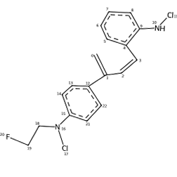 C=C(/C=C\c1ccccc1NCl)c1ccc(N(Cl)CCF)cc1